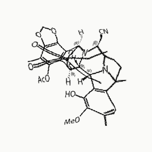 COc1c(C)cc2c(c1O)[C@@H]1[C@@H]3[C@@H]4SCC(=O)C(=O)OC[C@@H](c5c6c(c(C)c(OC(C)=O)c54)OCO6)N3[C@@H](C#N)C3CC2(C)N31